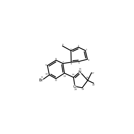 Cc1ccccc1-c1ccc(Br)cc1C1=NC(C)(C)CO1